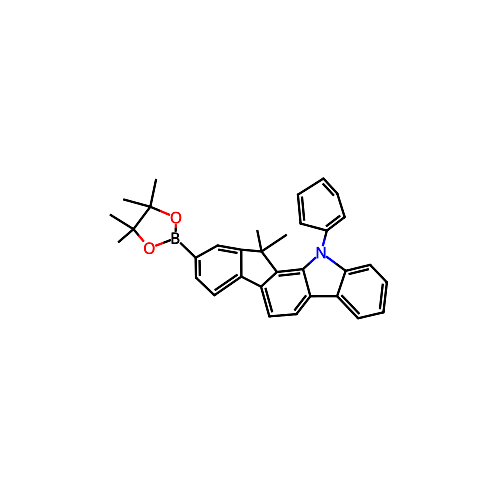 CC1(C)c2cc(B3OC(C)(C)C(C)(C)O3)ccc2-c2ccc3c4ccccc4n(-c4ccccc4)c3c21